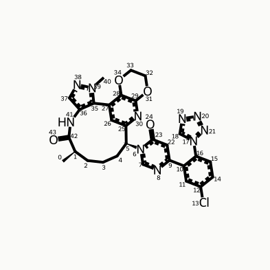 C[C@@H]1CCC[C@H](n2cnc(-c3cc(Cl)ccc3-n3cnnn3)cc2=O)c2cc(c3c(n2)OCCO3)-c2c(cnn2C)NC1=O